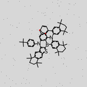 Cc1cc2c3c(c1)N(c1ccc(C(C)(C)C)cc1)c1c(sc4cc5c(cc14)C(C)(C)CCC5(C)C)B3c1cc3c(cc1N2c1cc2c(cc1C1=CCCC=C1)C(C)(C)CCC2(C)C)C(C)(C)CCC3(C)C